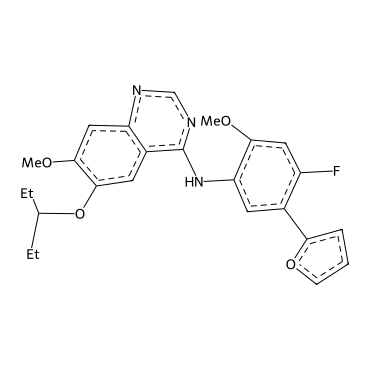 CCC(CC)Oc1cc2c(Nc3cc(-c4ccco4)c(F)cc3OC)ncnc2cc1OC